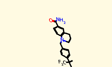 CC(C)(c1ccc(CN2CCCc3cc(C(N)=O)ccc32)cc1)C(F)(F)F